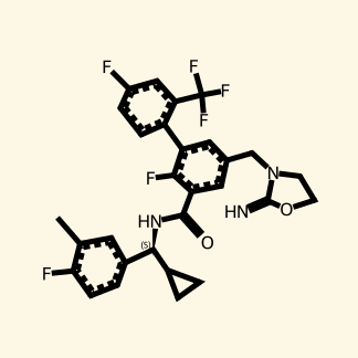 Cc1cc([C@@H](NC(=O)c2cc(CN3CCOC3=N)cc(-c3ccc(F)cc3C(F)(F)F)c2F)C2CC2)ccc1F